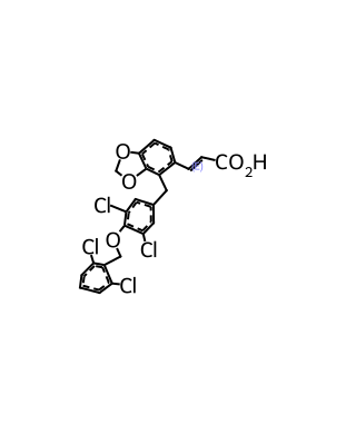 O=C(O)/C=C/c1ccc2c(c1Cc1cc(Cl)c(OCc3c(Cl)cccc3Cl)c(Cl)c1)OCO2